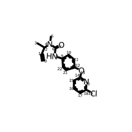 C#CC(C)N(C)C(=O)Nc1ccc(Oc2cccc(Cl)n2)cc1